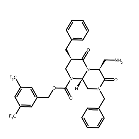 NC[C@H]1C(=O)N(Cc2ccccc2)C[C@@H]2N(C(=O)OCc3cc(C(F)(F)F)cc(C(F)(F)F)c3)C[C@@H](Cc3ccccc3)C(=O)N21